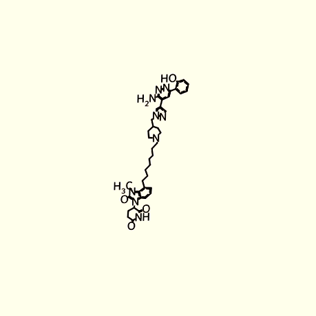 Cn1c(=O)n(C2CCC(=O)NC2=O)c2cccc(CCCCCCCCN3CCC(Cn4cc(-c5cc(-c6ccccc6O)nnc5N)cn4)CC3)c21